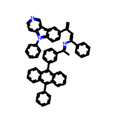 C=C(/C=C(\N=C(/C)c1cccc(-c2c3ccccc3c(-c3ccccc3)c3ccccc23)c1)c1ccccc1)c1ccc2c(c1)c1cnccc1n2-c1ccccc1